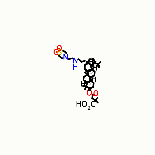 C=C(C)[C@@H]1CC[C@]2(CCCNCCN3CCS(=O)(=O)CC3)CC[C@]3(C)[C@H](CC[C@@H]4[C@@]5(C)CC[C@H](OC(=O)CC(C)(C)C(=O)O)C(C)(C)[C@@H]5CC[C@]43C)[C@@H]12